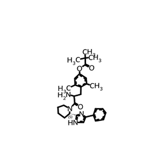 Cc1cc(OC(=O)C(C)(C)C)cc(C)c1CC(N)C(=O)N1CCCC[C@H]1c1nc(-c2ccccc2)c[nH]1